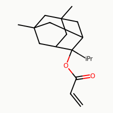 C=CC(=O)OC1(C(C)C)C2CC3(C)CC1CC(C)(C2)C3